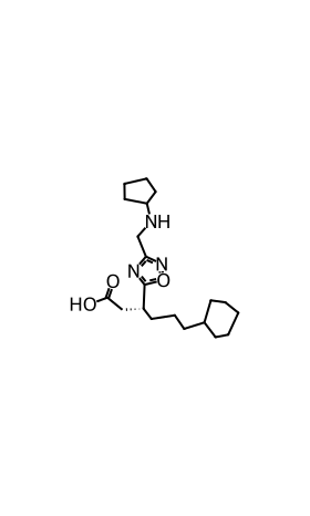 O=C(O)C[C@@H](CCCC1CCCCC1)c1nc(CNC2CCCC2)no1